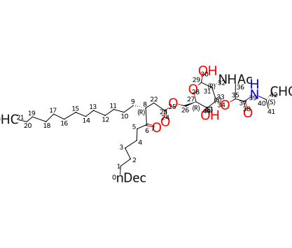 CCCCCCCCCCCCCCCC(=O)[C@H](CCCCCCCCCCCCC=O)CC(=O)OC[C@H]1OC(O)[C@H](NC(C)=O)[C@H](OC(C)C(=O)N[C@@H](C)[C]=O)[C@@H]1O